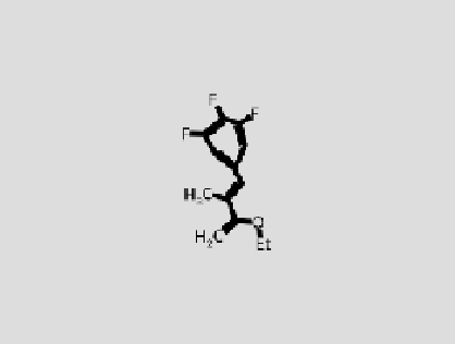 C=C(OCC)/C(C)=C/c1cc(F)c(F)c(F)c1